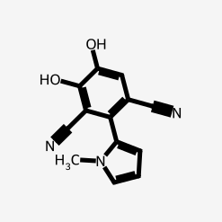 Cn1cccc1-c1c(C#N)cc(O)c(O)c1C#N